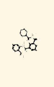 C=Cc1ccc(F)cc1NC(C)c1cc(F)cc2c1N=C(C1CCCCC1)N(C)C2=C